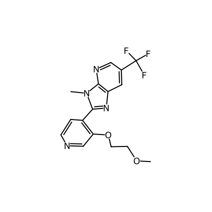 COCCOc1cnccc1-c1nc2cc(C(F)(F)F)cnc2n1C